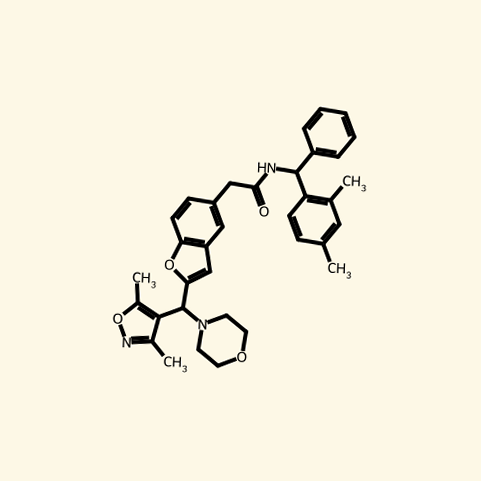 Cc1ccc(C(NC(=O)Cc2ccc3oc(C(c4c(C)noc4C)N4CCOCC4)cc3c2)c2ccccc2)c(C)c1